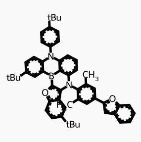 Cc1cc(-c2cc3ccccc3o2)cc(C)c1N1c2cccc3c2B(c2cc(C(C)(C)C)ccc2N3c2ccc(C(C)(C)C)cc2)c2oc3ccc(C(C)(C)C)cc3c21